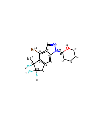 CCC1(F)c2c(cc3c(cnn3C3CCCCO3)c2Br)CC1(F)F